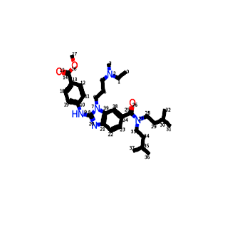 CCN(C)CCCn1c(Nc2ccc(C(=O)OC)cc2)nc2ccc(C(=O)N(CCC(C)C)CCC(C)C)cc21